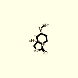 CC(C)O[C@H]1CCN2C(=O)OC[C@H]2C1